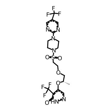 C[C@@H](COCCS(=O)(=O)N1CCN(c2ncc(C(F)(F)F)cn2)CC1)Oc1cn[nH]c(=O)c1C(F)(F)F